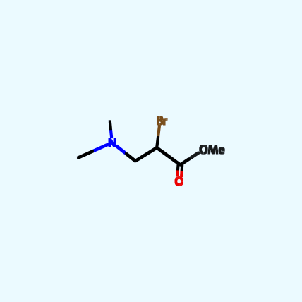 COC(=O)C(Br)CN(C)C